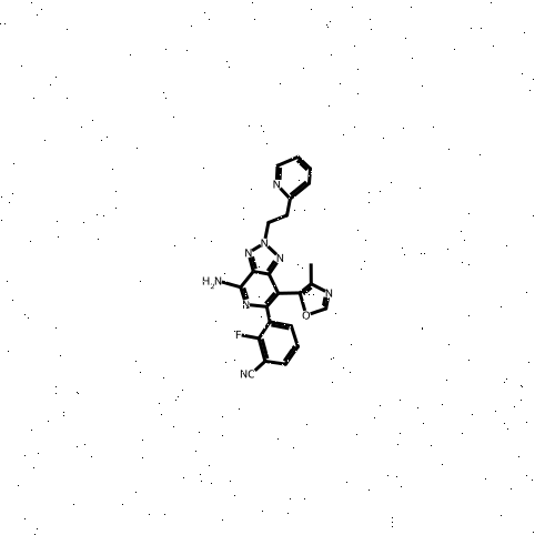 Cc1ncoc1-c1c(-c2cccc(C#N)c2F)nc(N)c2nn(CCc3ccccn3)nc12